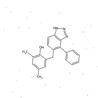 Cc1cc(C)c(O)c(Cc2ccc3[nH]nnc3c2-c2ccccc2)c1